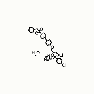 O.O=S(=O)(Cc1ccccc1)N1CCN(c2ccc(OCC3COC(Cn4cncn4)(c4ccc(Cl)cc4Cl)O3)cc2)CC1